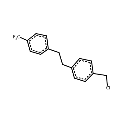 FC(F)(F)c1ccc(CCc2ccc(CCl)cc2)cc1